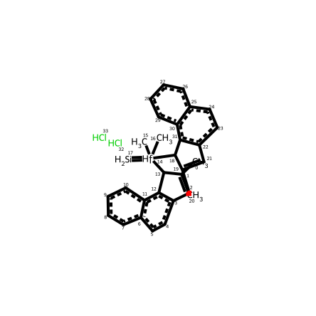 CC1=Cc2ccc3ccccc3c2[CH]1[Hf]([CH3])([CH3])(=[SiH2])[CH]1C(C)=Cc2ccc3ccccc3c21.Cl.Cl